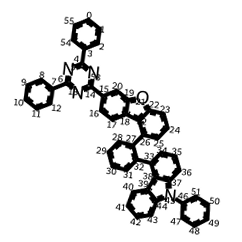 c1ccc(-c2nc(-c3ccccc3)nc(-c3ccc4c(c3)oc3cccc(-c5ccccc5-c5cccc6c5c5ccccc5n6-c5ccccc5)c34)n2)cc1